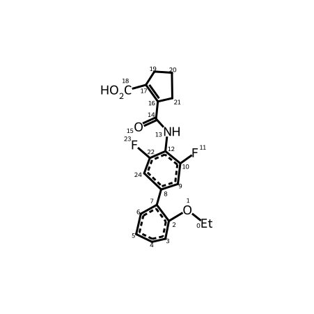 CCOc1ccccc1-c1cc(F)c(NC(=O)C2=C(C(=O)O)CCC2)c(F)c1